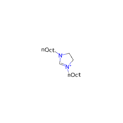 CCCCCCCCN1C=[N+](CCCCCCCC)CC1